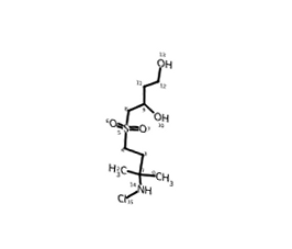 CC(C)(CCS(=O)(=O)CC(O)CCO)NCl